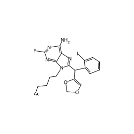 CC(=O)CCCCn1c(C(C2=COCO2)c2ccccc2I)nc2c(N)nc(F)nc21